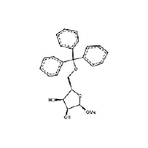 CO[C@@H]1O[C@H](COC(c2ccccc2)(c2ccccc2)c2ccccc2)[C@H](O)[C@@H]1O